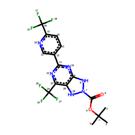 CC(C)(C)OC(=O)N1Nc2nc(-c3ccc(C(F)(F)F)nc3)nc(C(F)(F)F)c2N1